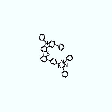 c1ccc(-c2ccc3c(c2)c2c4sc5c(-c6ccc(-c7nc(-c8ccccc8)nc(-c8ccccc8)n7)cc6)cccc5c4ccc2n3-c2ccccc2)cc1